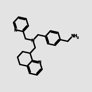 NCc1ccc(CN(Cc2ccccn2)CC2CCCc3cccnc32)cc1